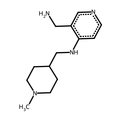 CN1CCC(CNc2ccncc2CN)CC1